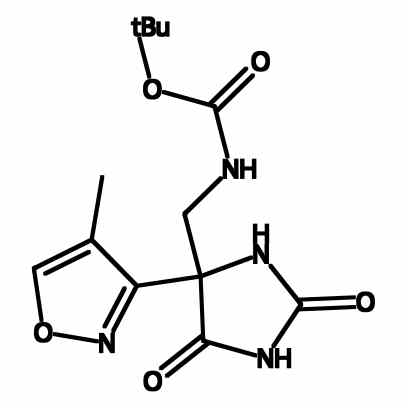 Cc1conc1C1(CNC(=O)OC(C)(C)C)NC(=O)NC1=O